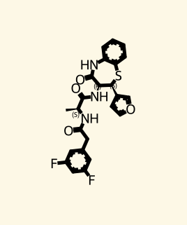 C[C@H](NC(=O)Cc1cc(F)cc(F)c1)C(=O)N[C@@H]1C(=O)Nc2ccccc2S[C@H]1c1ccoc1